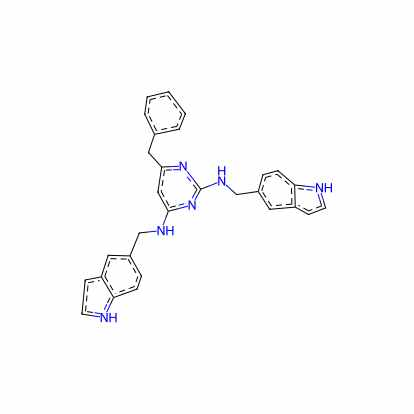 c1ccc(Cc2cc(NCc3ccc4[nH]ccc4c3)nc(NCc3ccc4[nH]ccc4c3)n2)cc1